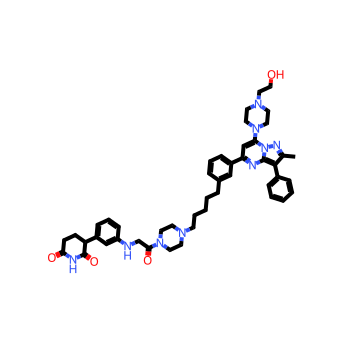 Cc1nn2c(N3CCN(CCO)CC3)cc(-c3cccc(CCCCCN4CCN(C(=O)CNc5cccc(C6CCC(=O)NC6=O)c5)CC4)c3)nc2c1-c1ccccc1